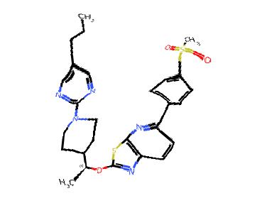 CCCc1cnc(N2CCC([C@H](C)Oc3nc4ccc(-c5ccc(S(C)(=O)=O)cc5)nc4s3)CC2)nc1